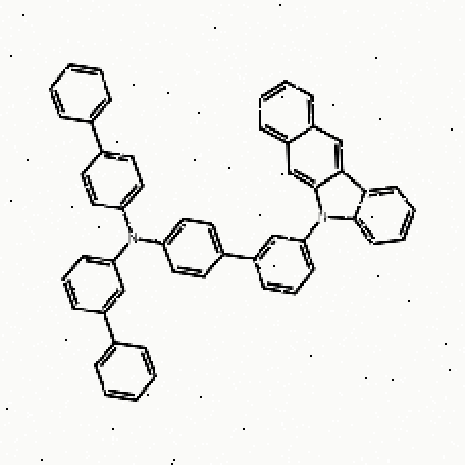 c1ccc(-c2ccc(N(c3ccc(-c4cccc(-n5c6ccccc6c6cc7ccccc7cc65)c4)cc3)c3cccc(-c4ccccc4)c3)cc2)cc1